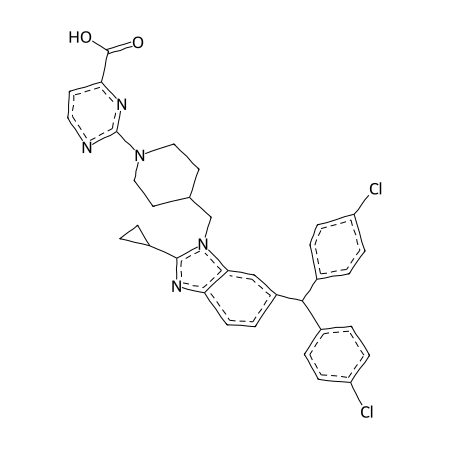 O=C(O)c1ccnc(N2CCC(Cn3c(C4CC4)nc4ccc(C(c5ccc(Cl)cc5)c5ccc(Cl)cc5)cc43)CC2)n1